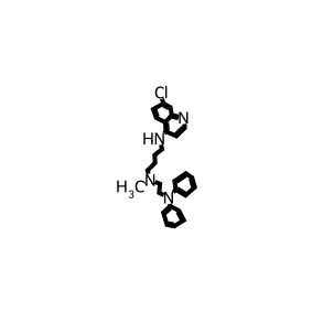 CN(CCCCNc1ccnc2cc(Cl)ccc12)CCN(c1ccccc1)c1ccccc1